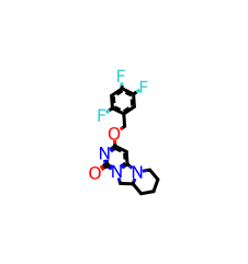 O=c1nc(OCc2cc(F)c(F)cc2F)cc2n1CC1CCCCN21